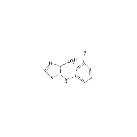 O=C(O)c1ncsc1Nc1cccc(F)c1